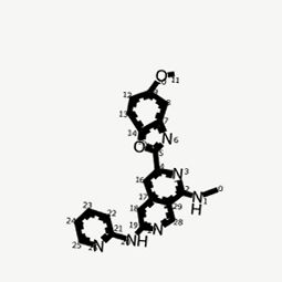 CNc1nc(-c2nc3cc(OC)ccc3o2)cc2cc(Nc3ccccn3)ncc12